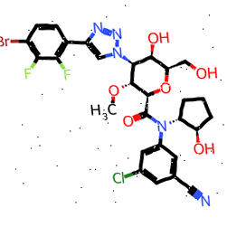 CO[C@@H]1[C@@H](n2cc(-c3ccc(Br)c(F)c3F)nn2)[C@@H](O)[C@@H](CO)O[C@H]1C(=O)N(c1cc(Cl)cc(C#N)c1)[C@@H]1CCC[C@H]1O